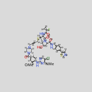 CNc1nc(Nc2ccc(C(=O)N3CCN(CC#CCSC(C)(C)C(NC(=O)C4(F)CC4)C(=O)N4C[C@H](O)C[C@H]4C(=O)NCc4ccc(-c5scnc5C)cc4)CC3)cc2OC)ncc1Cl